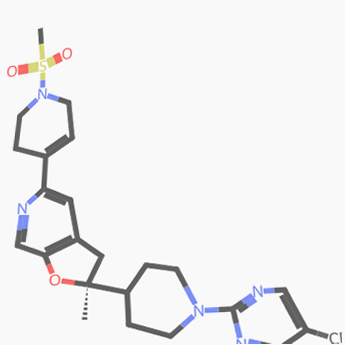 C[C@@]1(C2CCN(c3ncc(C(F)(F)F)cn3)CC2)Cc2cc(C3=CCN(S(C)(=O)=O)CC3)ncc2O1